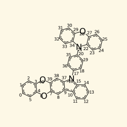 c1ccc2c(c1)Oc1cc3c4ccccc4n(-c4ccc(N5c6ccccc6Oc6ccccc65)cc4)c3cc1O2